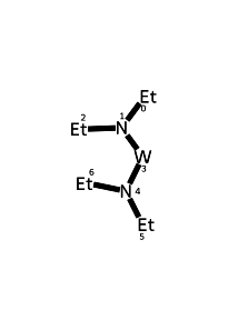 CC[N](CC)[W][N](CC)CC